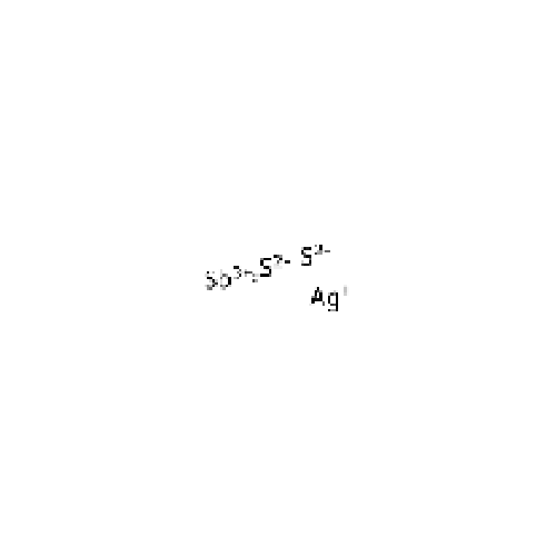 [Ag+].[S-2].[S-2].[Sb+3]